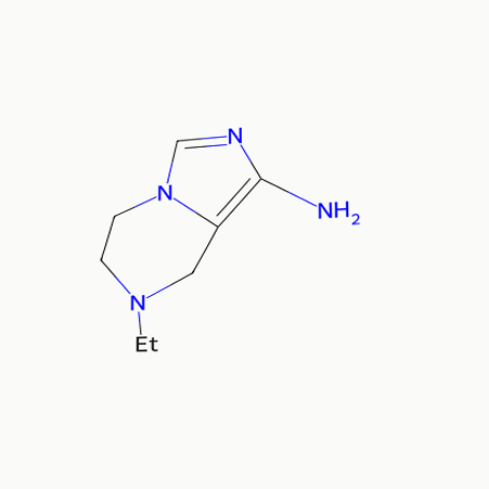 CCN1CCn2cnc(N)c2C1